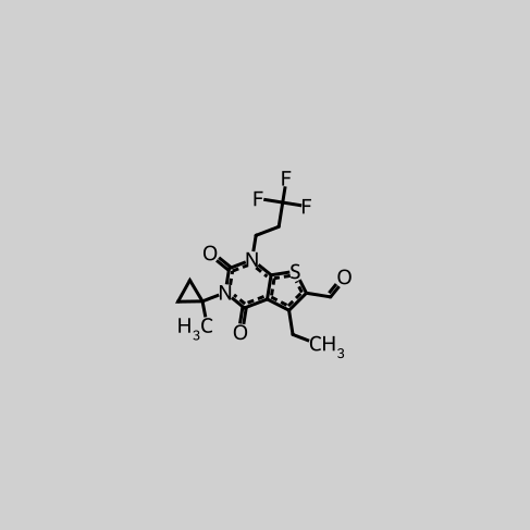 CCc1c(C=O)sc2c1c(=O)n(C1(C)CC1)c(=O)n2CCC(F)(F)F